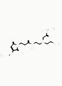 CNC(=O)CN(CCN)CCNC(=O)CCN1C(=O)C=C(SC)C1=O